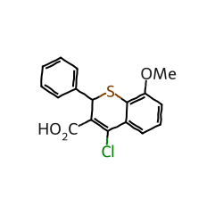 COc1cccc2c1SC(c1ccccc1)C(C(=O)O)=C2Cl